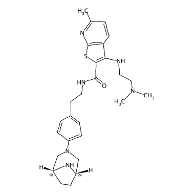 Cc1ccc2c(NCCN(C)C)c(C(=O)NCCc3ccc(N4C[C@H]5CC[C@@H](C4)N5)cc3)sc2n1